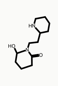 O=C1CCCC(O)N1CCC1CCCCN1